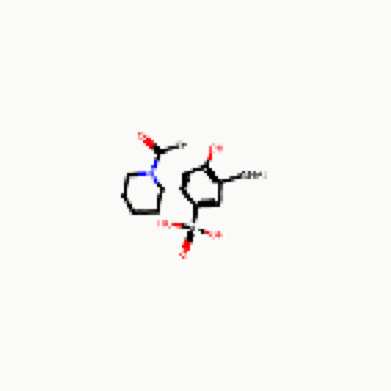 CC(=O)Nc1cc([As](=O)(O)O)ccc1O.CCC(=O)N1CC[CH]CC1